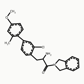 COc1ccc(-c2ccc(CC(N)C(=O)N3Cc4ccccc4C3)c(Cl)c2)c(C)c1